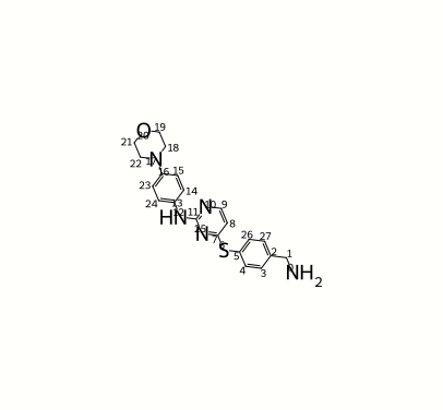 NCc1ccc(Sc2ccnc(Nc3ccc(N4CCOCC4)cc3)n2)cc1